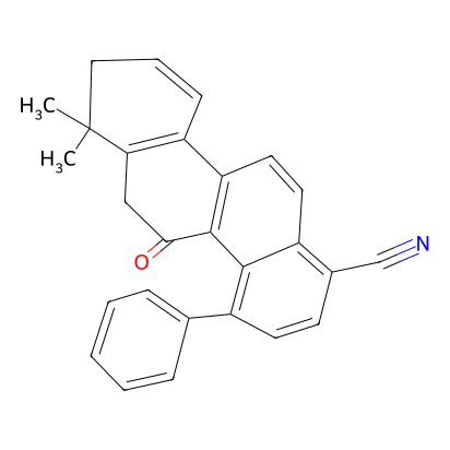 CC1(C)CC=CC2=C1CC(=O)c1c2ccc2c(C#N)ccc(-c3ccccc3)c12